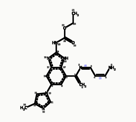 C=C(/N=C\C=C/N)c1cc(-n2cnc(C)c2)cc2nc(NC(=O)OCC)[nH]c12